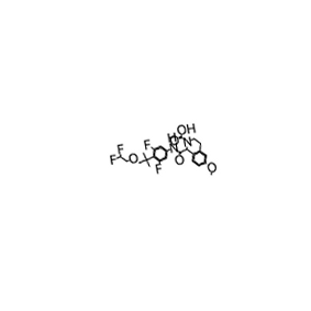 COc1ccc2c(c1)CCN(C(=O)O)C2C(=O)Nc1cc(F)c(C(C)(C)COCC(F)F)c(F)c1